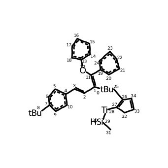 CC(C)(C)C(C=Cc1ccc(C(C)(C)C)cc1)=C(Oc1ccccc1)c1ccccc1.CC1=[C]([Ti][SiH](C)C)CC=C1